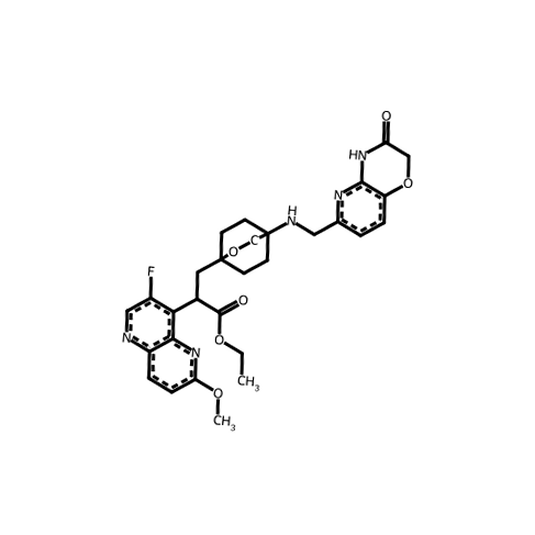 CCOC(=O)C(CC12CCC(NCc3ccc4c(n3)NC(=O)CO4)(CC1)CO2)c1c(F)cnc2ccc(OC)nc12